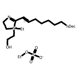 CCCCCCCCCCCCCCC/C=C/C1=NCC[N+]1(CC)CCO.CCOS(=O)(=O)[O-]